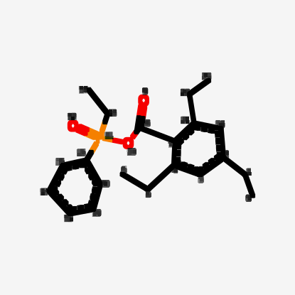 CCc1cc(CC)c(C(=O)OP(=O)(CC)c2ccccc2)c(CC)c1